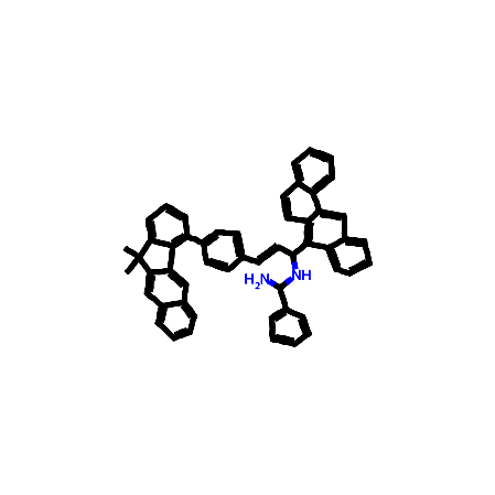 CC1(C)c2cc3ccccc3cc2-c2c(-c3ccc(/C=C/C(NC(N)c4ccccc4)c4c5ccccc5cc5c4ccc4ccccc45)cc3)cccc21